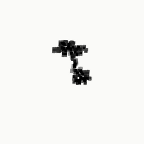 CNN(C)c1ncnc2c1ncn2CC#CCCC(CC[C@H](NC(=O)O)C(=O)O)NC(=N)N